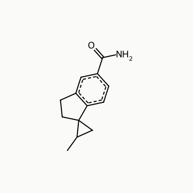 CC1CC12CCc1cc(C(N)=O)ccc12